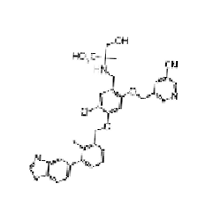 Cc1c(COc2cc(OCc3cncc(C#N)c3)c(CNC(C)(CO)C(=O)O)cc2Cl)cccc1-c1ccc2scnc2c1